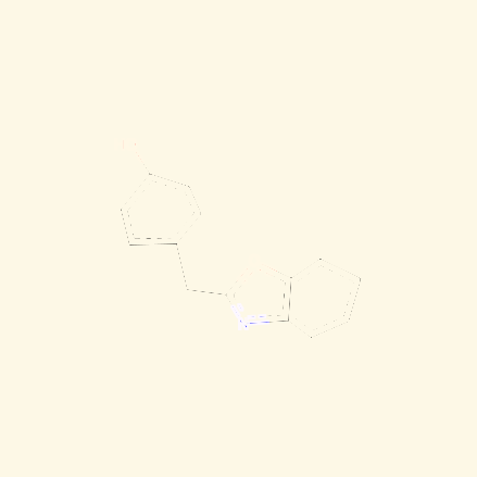 Oc1ccc(Cc2nc3ccccc3o2)cc1